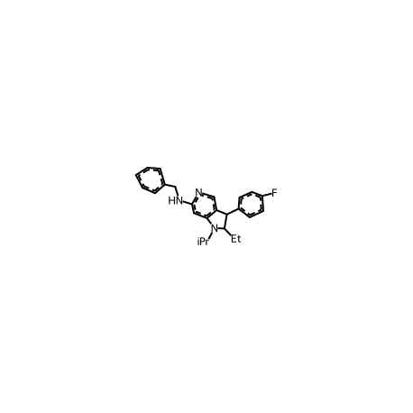 CCC1C(c2ccc(F)cc2)c2cnc(NCc3ccccc3)cc2N1C(C)C